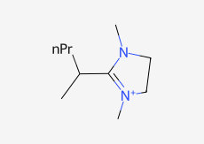 CCCC(C)C1=[N+](C)CCN1C